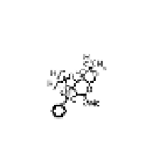 COC1OC2COC(C)(C)O[C@H]2C2OC(C)(C)O[C@@H]2C1OC(=O)c1ccccc1